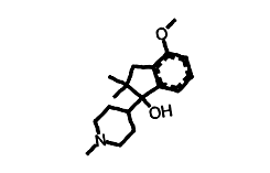 COc1cccc2c1CC(C)(C)C2(O)C1CCN(C)CC1